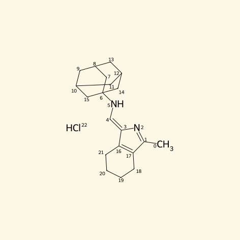 CC1=N/C(=C\NC23CC4CC(CC(C4)C2)C3)C2=C1CCCC2.Cl